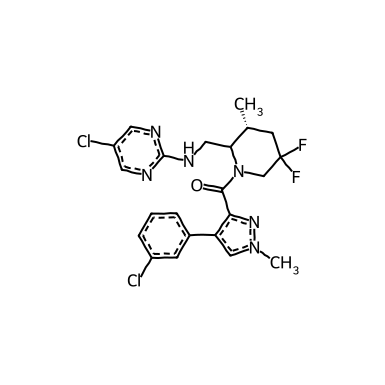 C[C@@H]1CC(F)(F)CN(C(=O)c2nn(C)cc2-c2cccc(Cl)c2)C1CNc1ncc(Cl)cn1